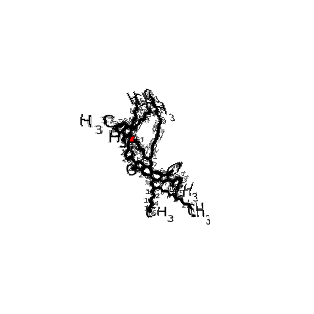 CCCCCCCCCCC(CCCCCC)Cc1c2cc3c(=O)c(-c4ccc(-c5cc6c(s5)-c5sc(C)cc5C6(CCCCCC)CCCCCC)s4)cc3c(CC(CCCCCC)CCCCCCCCCC)c2cc2c(=O)c(-c3ccc(C)s3)cc12